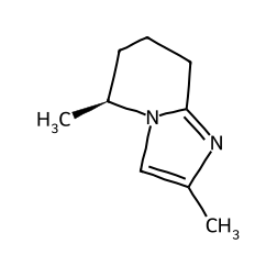 Cc1cn2c(n1)CCC[C@@H]2C